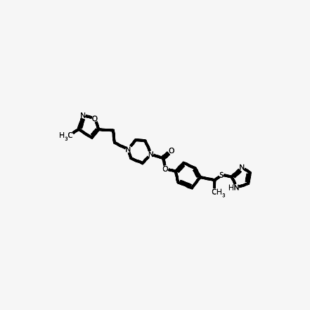 Cc1cc(CCN2CCN(C(=O)Oc3ccc(C(C)Sc4ncc[nH]4)cc3)CC2)on1